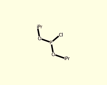 CC(C)OP(Cl)OC(C)C